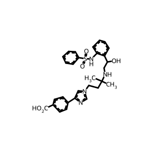 CC(C)(CCn1cnc(-c2ccc(C(=O)O)cc2)c1)NCC(O)c1ccccc1NS(=O)(=O)c1ccccc1